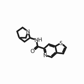 O=C(NC1CC2CCN1C2)c1cc2sccc2cn1